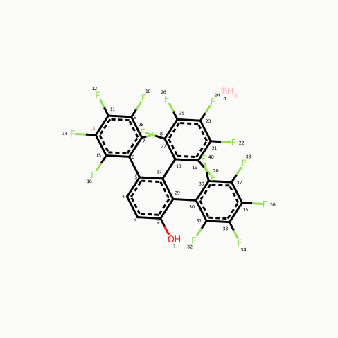 B.Oc1ccc(-c2c(F)c(F)c(F)c(F)c2F)c(-c2c(F)c(F)c(F)c(F)c2F)c1-c1c(F)c(F)c(F)c(F)c1F